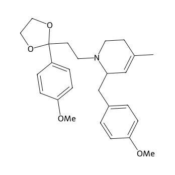 COc1ccc(CC2C=C(C)CCN2CCC2(c3ccc(OC)cc3)OCCO2)cc1